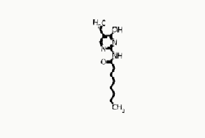 CCCCCCCC(=O)Nc1ncc(CC)c(O)n1